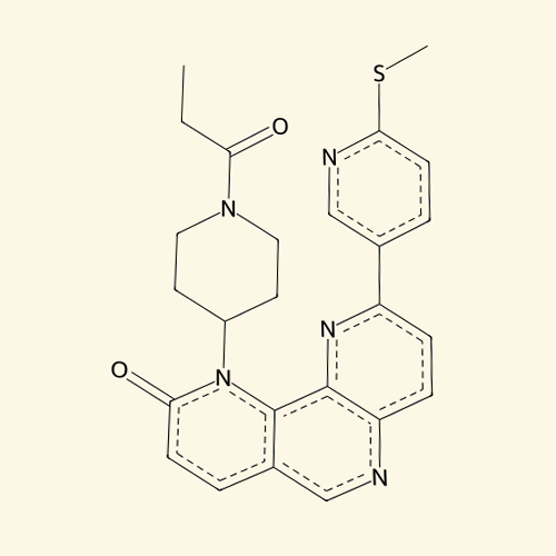 CCC(=O)N1CCC(n2c(=O)ccc3cnc4ccc(-c5ccc(SC)nc5)nc4c32)CC1